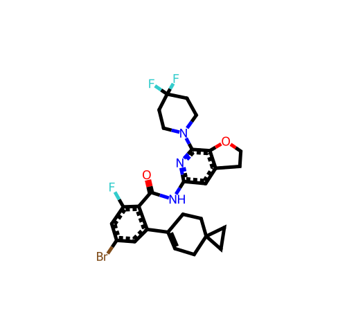 O=C(Nc1cc2c(c(N3CCC(F)(F)CC3)n1)OCC2)c1c(F)cc(Br)cc1C1=CCC2(CC1)CC2